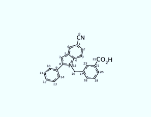 N#Cc1ccc2c(c1)cc(-c1ccccc1)n2Cc1cccc(C(=O)O)c1